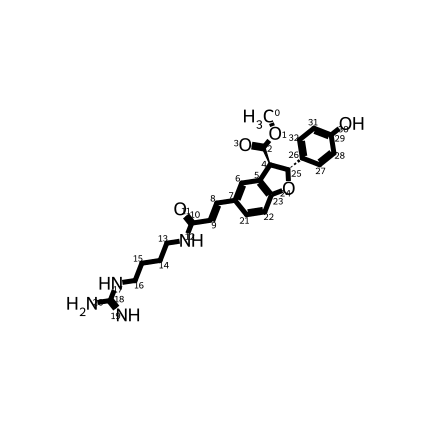 COC(=O)[C@@H]1c2cc(/C=C/C(=O)NCCCCNC(=N)N)ccc2O[C@H]1c1ccc(O)cc1